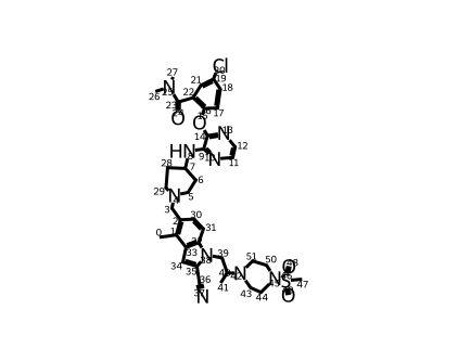 Cc1c(CN2CCC(Nc3nccnc3Oc3ccc(Cl)cc3C(=O)N(C)C)CC2)ccc2c1cc(C#N)n2CC(C)N1CCN(S(C)(=O)=O)CC1